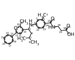 Cc1cc(NC(CC(C)C)c2cc(-c3ccccc3)oc2C)ccc1C(=O)NCCC(=O)O